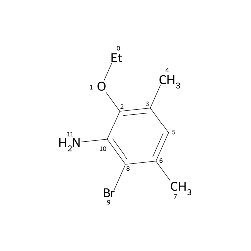 CCOc1c(C)cc(C)c(Br)c1N